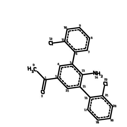 CC(=O)c1cc(-c2ccccc2Cl)c(N)c(-c2ccccc2Cl)c1